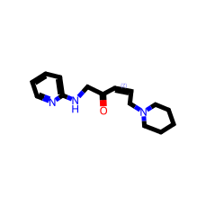 O=C(/C=C\CN1CCCCC1)CNc1ccccn1